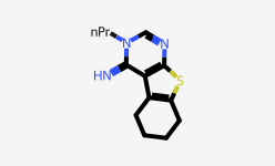 CCCn1cnc2sc3c(c2c1=N)CCCC3